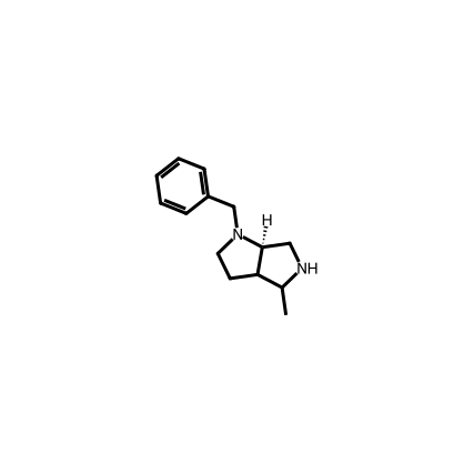 CC1NC[C@H]2C1CCN2Cc1ccccc1